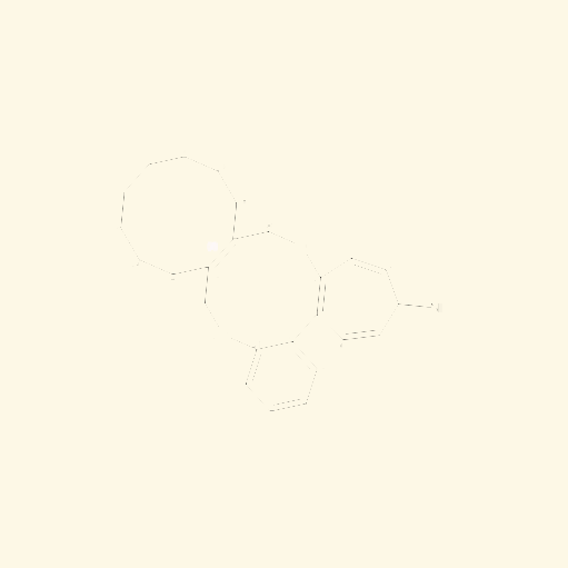 NC1C=CC2=C(C=C1)c1ccccc1OC/C1=C(/CCCCCCCC1)CO2